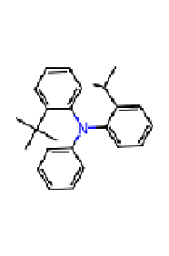 CC(C)c1ccccc1N(c1ccccc1)c1ccccc1C(C)(C)C